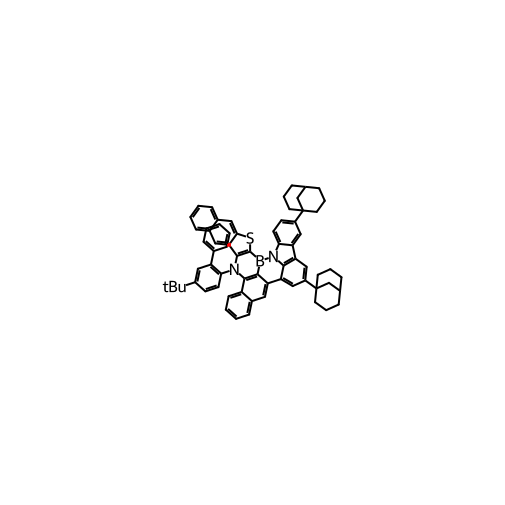 CC(C)(C)c1ccc(N2c3c4c(cc5ccccc35)-c3cc(C56CCCC(CCC5)C6)cc5c6cc(C78CCCC(CCC7)C8)ccc6n(c35)B4c3sc4cc5ccccc5cc4c32)c(-c2ccccc2)c1